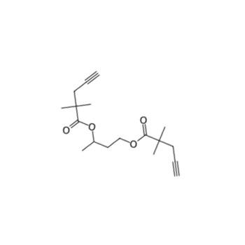 C#CCC(C)(C)C(=O)OCCC(C)OC(=O)C(C)(C)CC#C